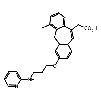 Cc1cccc2c1CC1C=C(OCCCNc3ccccn3)C=CC1C=C2CC(=O)O